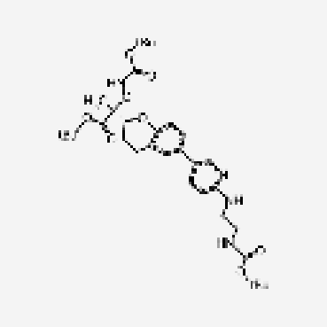 CC(C)(C)OC(=O)NCCNc1ccc(-c2ccc3c(c2)CC[C@H](C(C)(ONC(=O)OC(C)(C)C)C(=O)OC(C)(C)C)O3)cn1